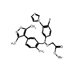 Cc1ccc(-c2c(C)noc2C)cc1N(OCC(=O)OC(C)(C)C)c1ccc(F)c(-n2ccnc2)c1